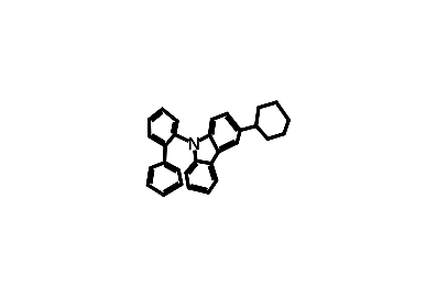 c1ccc(-c2ccccc2-n2c3ccccc3c3cc(C4CCCCC4)ccc32)cc1